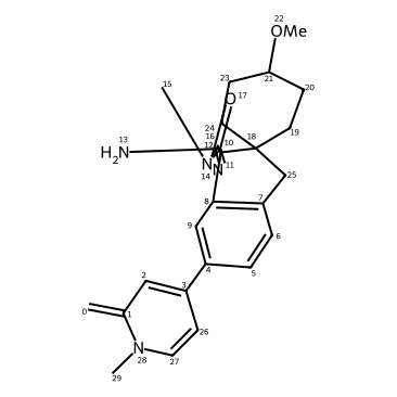 C=C1C=C(c2ccc3c(c2)C2(N=C(N)N(C)C2=O)C2(CCC(OC)CC2)C3)C=CN1C